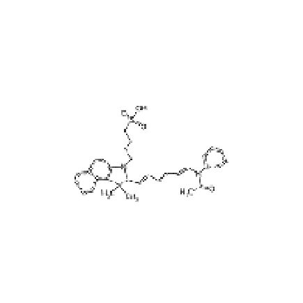 CC(=O)N(/C=C/C=C/C=C/C1N(CCCCS(=O)(=O)O)c2ccc3ccccc3c2C1(C)C)c1ccccc1